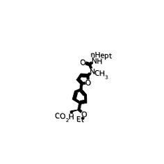 CCCCCCCNC(=O)N(C)c1ccc(-c2ccc([C@H](CC(=O)O)OCC)cc2)o1